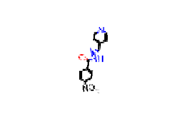 O=C(NN=Cc1ccncc1)c1ccc([N+](=O)[O-])cc1